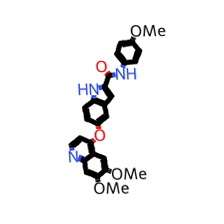 COc1ccc(NC(=O)c2cc3cc(Oc4ccnc5cc(OC)c(OC)cc45)ccc3[nH]2)cc1